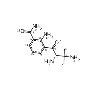 CC(C)(N)[C@H](N)C(=O)c1cccc(C(N)=O)c1N